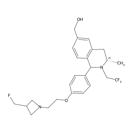 C[C@H]1Cc2cc(CO)ccc2C(c2ccc(OCCN3CC(CF)C3)cc2)N1CC(F)(F)F